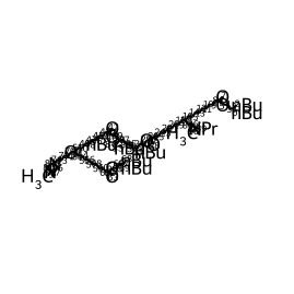 CCCCC(CCCC)CCOC(=O)CCCCCCCCCC(CCCCCCCCCC(=O)OCCC(CCCC)CCCCC(COC(=O)CCCCCCCCCC(CCCCCCCCCC(=O)OCCC(CCCC)CCCC)OCCCCN1CCN(C)CC1)C(CCCC)CCCC)CCN(C)C(C)C